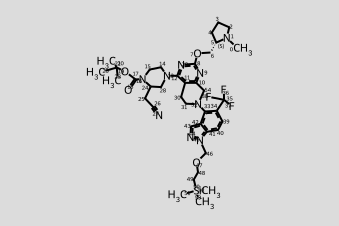 CN1CCC[C@H]1COc1nc2c(c(N3CCN(C(=O)OC(C)(C)C)C(CC#N)C3)n1)CCN(c1c(C(F)(F)F)ccc3c1cnn3COCC[Si](C)(C)C)C2